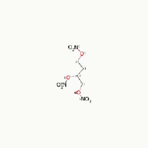 O=[N+]([O-])OCCC(CO[N+](=O)[O-])O[N+](=O)[O-]